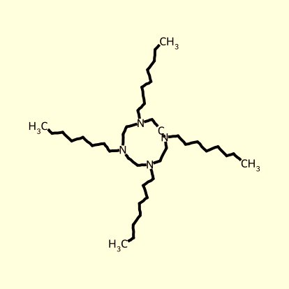 CCCCCCCCN1CCN(CCCCCCCC)CCN(CCCCCCCC)CCN(CCCCCCCC)CC1